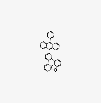 c1ccc(-c2c3ccccc3c(-c3ccc4c(c3)c3cccc5oc6cccc4c6c53)c3ccccc23)cc1